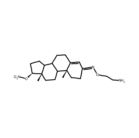 C[C@]12CCC(=NOCCN)C=C1CCC1C2CC[C@@]2(C)C1CC[C@@H]2O[N+](=O)[O-]